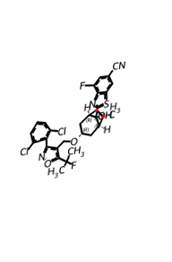 C[C@H]1C[C@@H]2C[C@@H](OCc3c(-c4c(Cl)cccc4Cl)noc3C(C)(C)F)C[C@H]1[C@]2(O)c1nc2c(F)cc(C#N)cc2s1